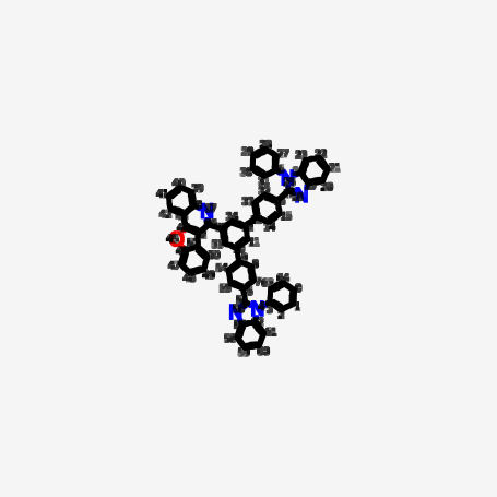 c1ccc(-n2c(-c3ccc(-c4cc(-c5ccc(-c6nc7ccccc7n6-c6ccccc6)cc5)cc(-c5nc6ccccc6c6oc7ccccc7c56)c4)cc3)nc3ccccc32)cc1